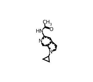 CC(=O)Nc1cc2ccn(C3CC3)c2cn1